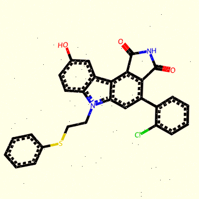 O=C1NC(=O)c2c1c(-c1ccccc1Cl)cc1c2c2cc(O)ccc2n1CCSc1ccccc1